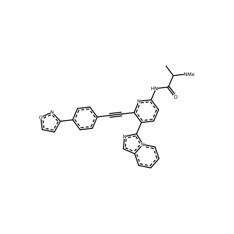 CNC(C)C(=O)Nc1ccc(-c2ncc3ccccn23)c(C#Cc2ccc(-c3ccon3)cc2)n1